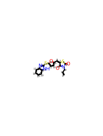 C=CCN1C(=O)SC(=Cc2ccc(Sc3nc4ccccc4[nH]3)o2)C1=O